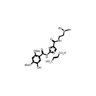 COc1cc(OC)c(C(=O)Nc2nc(C(=O)NCCN(C(C)C)C(C)C)cs2)cc1O.O=C(O)C=CC(=O)O